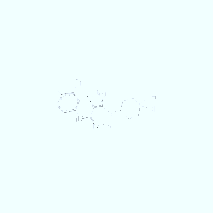 O/N=C(/Nc1ccc(F)c(Br)c1)c1nonc1SC1CCS(O)(O)CC1